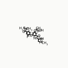 CN/C=C\C(=N)NC(=O)c1cc(Oc2ccc(C(=O)N(C)C)cc2F)cc(O[C@@H](C)CO)c1